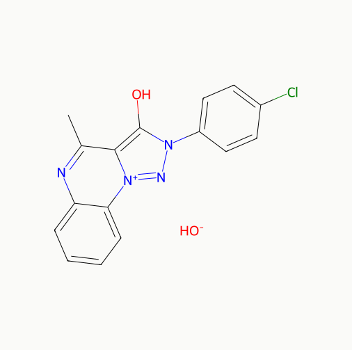 Cc1nc2ccccc2[n+]2nn(-c3ccc(Cl)cc3)c(O)c12.[OH-]